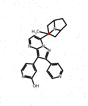 CCN1C2CCC1CC(c1ccnc3c(-c4ccnc(O)c4)c(-c4ccncc4)nn13)C2